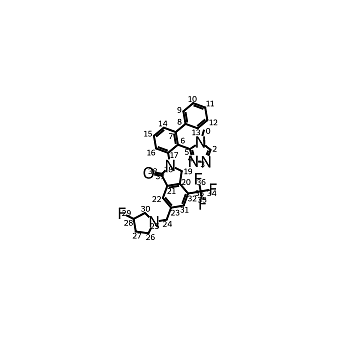 Cn1cnnc1-c1c(-c2ccccc2)cccc1N1Cc2c(cc(CN3CCC(F)C3)cc2C(F)(F)F)C1=O